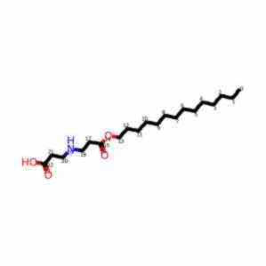 CCCCCCCCCCCCCCOC(=O)CCNCCC(=O)O